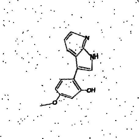 COc1c[c]c(-c2c[nH]c3ncccc23)c(O)c1